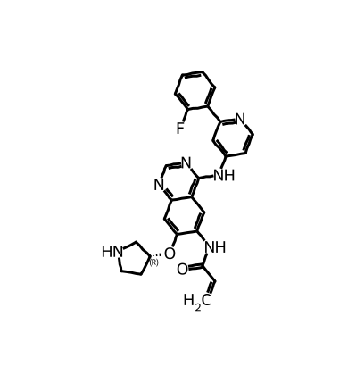 C=CC(=O)Nc1cc2c(Nc3ccnc(-c4ccccc4F)c3)ncnc2cc1O[C@@H]1CCNC1